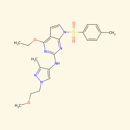 CCOc1nc(Nc2cn(CCOC)nc2C)nc2c1ccn2S(=O)(=O)c1ccc(C)cc1